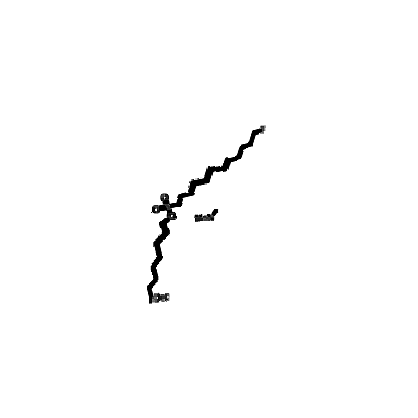 CCCCCCCCCCCCCCCCCOS(=O)(=O)CCCCCCCCCCCCF.CNC